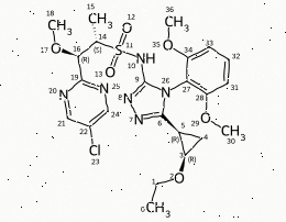 CCO[C@@H]1C[C@@H]1c1nnc(NS(=O)(=O)[C@@H](C)[C@H](OC)c2ncc(Cl)cn2)n1-c1c(OC)cccc1OC